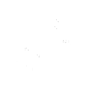 Nc1[c]cnn1-c1ccc2[nH]c(C3(F)CC3)nc2c1